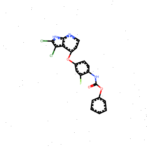 O=C(Nc1ccc(Oc2ccnc3[nH]c(Cl)c(Cl)c23)cc1F)Oc1ccccc1